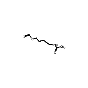 CC(=O)NCCCCOC=O